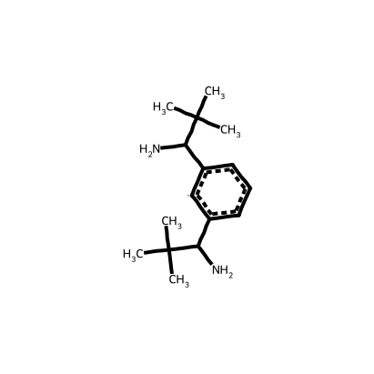 CC(C)(C)C(N)c1[c]c(C(N)C(C)(C)C)ccc1